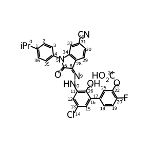 CC(C)c1ccc(N2C(=O)C(=NNc3cc(Cl)cc(-c4ccc(F)c(OC(=O)O)c4)c3O)c3ccc(C#N)cc32)cc1